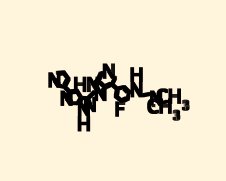 CN(C)CCNc1cc(F)cc(-c2cncc3[nH]c(-c4n[nH]c5cnc(-c6cccnc6)cc45)nc23)c1